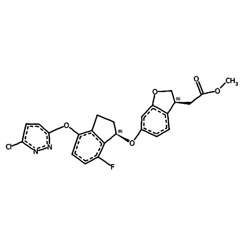 COC(=O)C[C@@H]1COc2cc(O[C@@H]3CCc4c(Oc5ccc(Cl)nn5)ccc(F)c43)ccc21